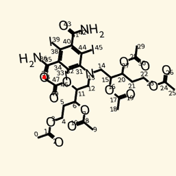 CC(=O)OCCC(OC(C)=O)C(CN(CC(OC(C)=O)C(CCOC(C)=O)OC(C)=O)c1c(I)c(C(N)=O)c(I)c(C(N)=O)c1I)OC(C)=O